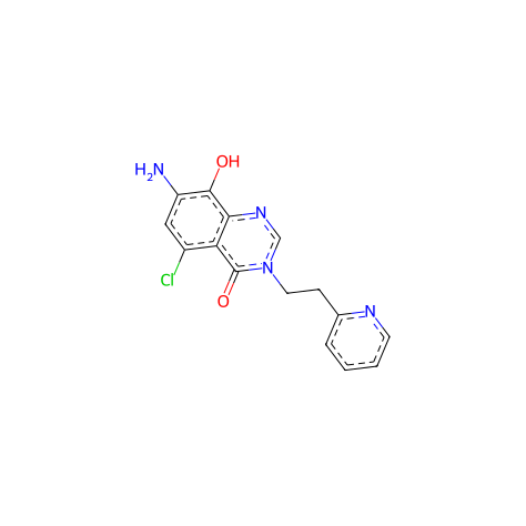 Nc1cc(Cl)c2c(=O)n(CCc3ccccn3)cnc2c1O